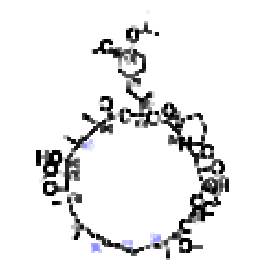 CO[C@H]1C[C@@H]2CC[C@@H](C)[C@@](O)(O2)C(=O)C(=O)N2CCCC[C@H]2C(=O)O[C@H]([C@H](C)C[C@@H]2CC[C@@H](OC(C)C)[C@H](OC)C2)CC(=O)[C@H](C)/C=C(\C)[C@@H](O)[C@@H](OC)C(=O)[C@H](C)C[C@H](C)/C=C/C=C/C=C/1C